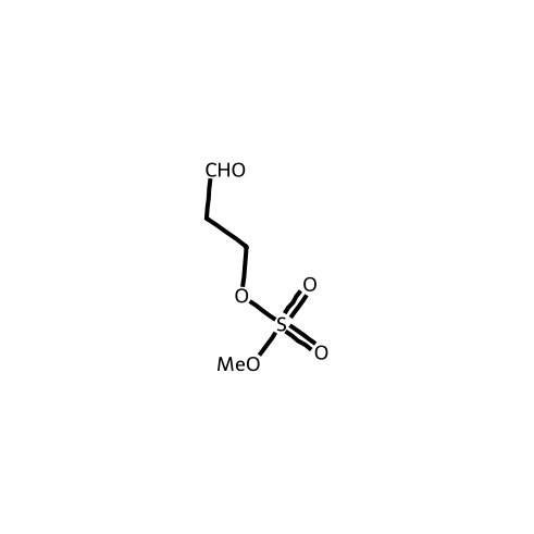 COS(=O)(=O)OCCC=O